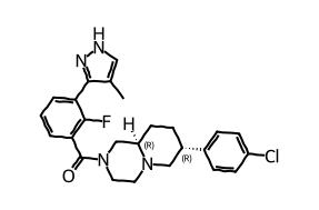 Cc1c[nH]nc1-c1cccc(C(=O)N2CCN3C[C@@H](c4ccc(Cl)cc4)CC[C@@H]3C2)c1F